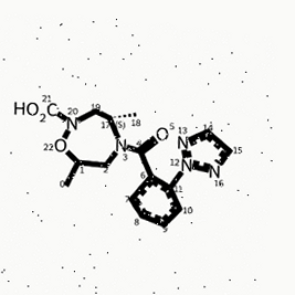 CC1CN(C(=O)c2ccccc2-n2nccn2)[C@@H](C)CN(C(=O)O)O1